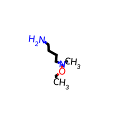 CCON(C)CCCCN